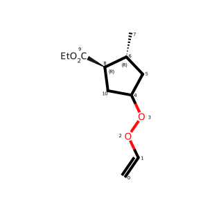 C=COOC1C[C@@H](C)[C@H](C(=O)OCC)C1